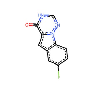 O=c1[nH]cnn2c1cc1cc(F)ccc12